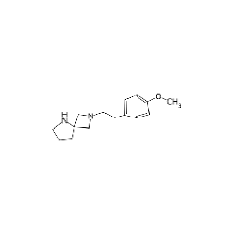 COc1ccc(CCN2CC3(CCCN3)C2)cc1